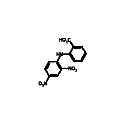 O=C(O)c1ccccc1Nc1ccc([N+](=O)[O-])cc1[N+](=O)[O-]